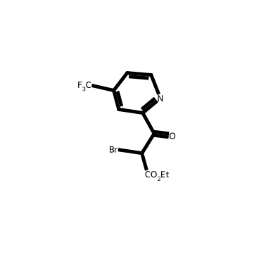 CCOC(=O)C(Br)C(=O)c1cc(C(F)(F)F)ccn1